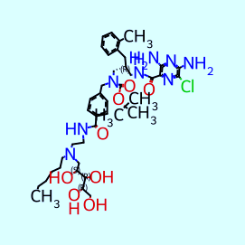 CCCCCCN(CCNC(=O)c1ccc(CN(C[C@@H](CNC(=O)c2nc(Cl)c(N)nc2N)Cc2ccccc2C)C(=O)OC(C)(C)C)cc1)C[C@H](O)[C@@H](O)[C@H](O)CO